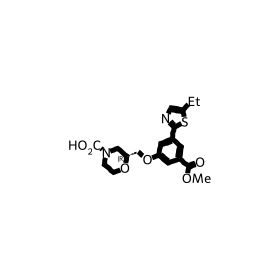 CCc1cnc(-c2cc(OC[C@H]3CN(C(=O)O)CCO3)cc(C(=O)OC)c2)s1